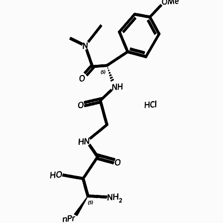 CCC[C@H](N)C(O)C(=O)NCC(=O)N[C@H](C(=O)N(C)C)c1ccc(OC)cc1.Cl